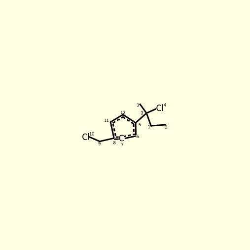 CCC(C)(Cl)c1ccc(CCl)cc1